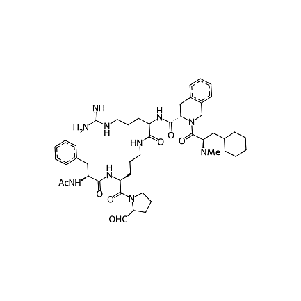 CN[C@H](CC1CCCCC1)C(=O)N1Cc2ccccc2C[C@H]1C(=O)NC(CCCNC(=N)N)C(=O)NCCC[C@H](NC(=O)[C@H](Cc1ccccc1)NC(C)=O)C(=O)N1CCCC1C=O